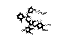 COc1ccc([C@H](Cc2c(Cl)c[n+]([O-])cc2Cl)c2cc(CN(C(=O)O[C@@H]3CCN(C)C3)c3ccccc3F)sc2C(=O)O)cc1OC.O=CO